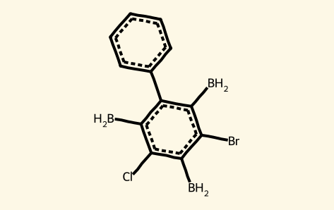 Bc1c(Cl)c(B)c(-c2ccccc2)c(B)c1Br